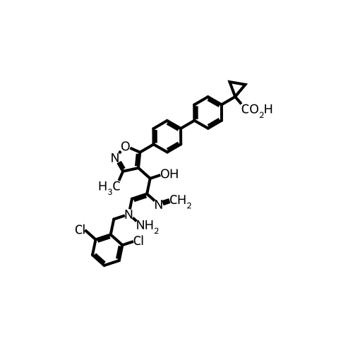 C=N/C(=C\N(N)Cc1c(Cl)cccc1Cl)C(O)c1c(C)noc1-c1ccc(-c2ccc(C3(C(=O)O)CC3)cc2)cc1